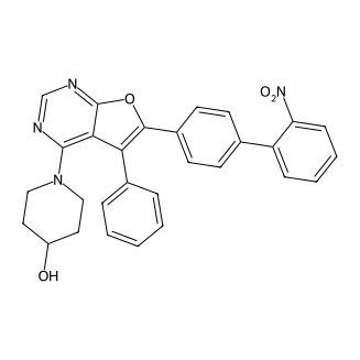 O=[N+]([O-])c1ccccc1-c1ccc(-c2oc3ncnc(N4CCC(O)CC4)c3c2-c2ccccc2)cc1